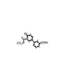 COc1cccc(-c2ccc(=O)n(C(C)C(=O)O)n2)c1